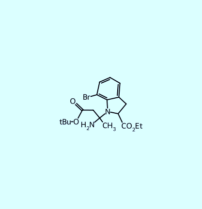 CCOC(=O)C1Cc2cccc(Br)c2N1C(C)(N)CC(=O)OC(C)(C)C